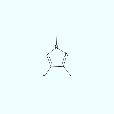 Cc1nn(C)[c]c1F